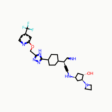 N=C[C@@H](C#CN[C@H]1C[C@H](O)[C@@H](N2CCC2)C1)C1CCC(c2nnc(COc3cc(C(F)(F)F)ccn3)[nH]2)CC1